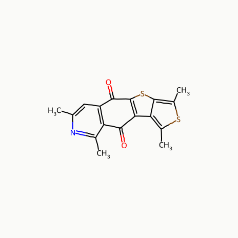 Cc1cc2c(c(C)n1)C(=O)c1c(sc3c(C)sc(C)c13)C2=O